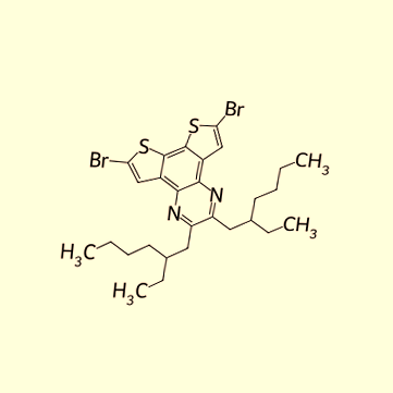 CCCCC(CC)Cc1nc2c3cc(Br)sc3c3sc(Br)cc3c2nc1CC(CC)CCCC